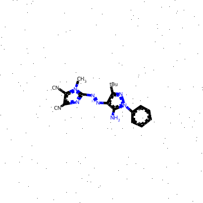 [C-]#[N+]c1nc(/N=N/c2c(C(C)(C)C)nn(-c3ccccc3)c2N)n(C)c1[N+]#[C-]